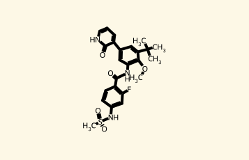 COc1c(NC(=O)c2ccc(NS(C)(=O)=O)cc2F)cc(-c2ccc[nH]c2=O)cc1C(C)(C)C